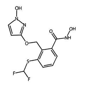 O=C(NO)c1cccc(SC(F)F)c1COc1ccn(O)n1